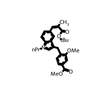 CCCn1cc(Cc2ccc(C(=O)OC)cc2OC)c2cc(C=C(C)C(=O)OC(C)(C)C)ccc21